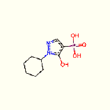 O=P(O)(O)c1cnn(C2CCCCC2)c1O